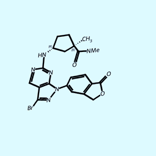 CNC(=O)[C@]1(C)CC[C@@H](Nc2ncc3c(Br)nn(-c4ccc5c(c4)COC5=O)c3n2)C1